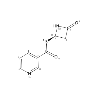 O=C1C[C@@H](SC(=O)c2cccnc2)N1